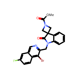 COC(=O)N1CC2(C1)C(=O)N(Cc1ncc3cc(F)ccc3c1Br)c1ccccc12